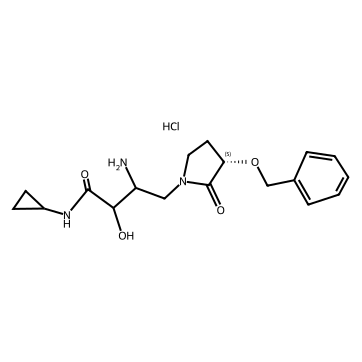 Cl.NC(CN1CC[C@H](OCc2ccccc2)C1=O)C(O)C(=O)NC1CC1